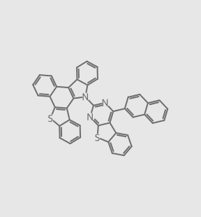 c1ccc2cc(-c3nc(-n4c5ccccc5c5c6ccccc6c6sc7ccccc7c6c54)nc4sc5ccccc5c34)ccc2c1